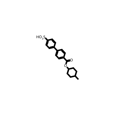 CC1CCC(OC(=O)c2ccc(-c3ccc(S(=O)(=O)O)cc3)cc2)CC1